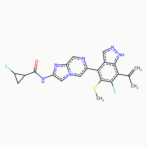 C=C(C)c1c(F)c(SC)c(-c2cn3cc(NC(=O)C4CC4F)nc3cn2)c2cn[nH]c12